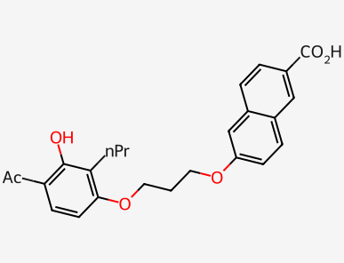 CCCc1c(OCCCOc2ccc3cc(C(=O)O)ccc3c2)ccc(C(C)=O)c1O